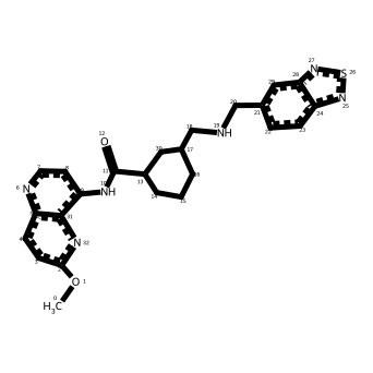 COc1ccc2nccc(NC(=O)C3CCCC(CNCc4ccc5nsnc5c4)C3)c2n1